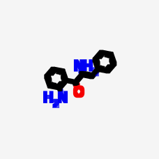 NC(=Cc1ccccc1)C(=O)c1ccccc1N